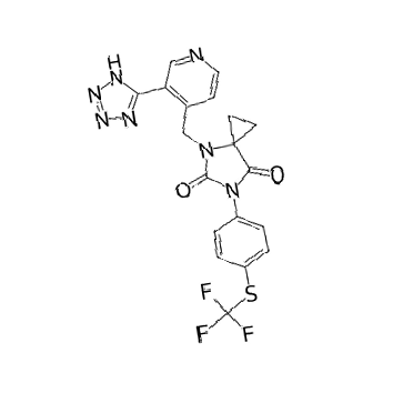 O=C1N(c2ccc(SC(F)(F)F)cc2)C(=O)C2(CC2)N1Cc1ccncc1-c1nnn[nH]1